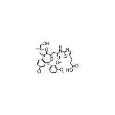 COc1cccc([C@H]2O[C@H](CC(=O)Nc3ncc(CCC(=O)O)s3)C(=O)N(CC(C)(C)CO)c3ccc(Cl)cc32)c1OC